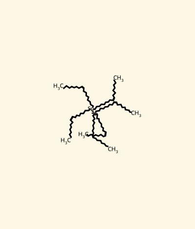 CCCCCCCC/C=C\CCCCCCC[CH2][Sn]([CH2]CCCCCCC/C=C\CCCCCCCC)([CH2]CCCCCCC/C=C\CCCCCCCC)[S][Sn]([CH2]CCCCCCC/C=C\CCCCCCCC)([CH2]CCCCCCC/C=C\CCCCCCCC)[CH2]CCCCCCC/C=C\CCCCCCCC